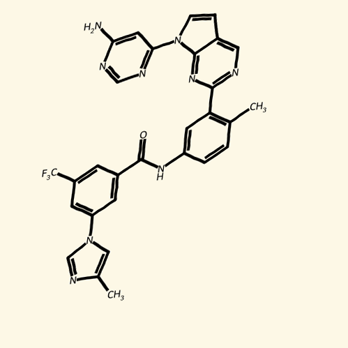 Cc1cn(-c2cc(C(=O)Nc3ccc(C)c(-c4ncc5ccn(-c6cc(N)ncn6)c5n4)c3)cc(C(F)(F)F)c2)cn1